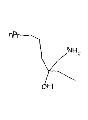 CCCCCC(C)(N)O